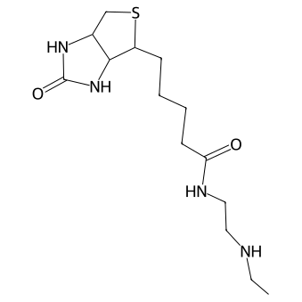 CCNCCNC(=O)CCCCC1SCC2NC(=O)NC21